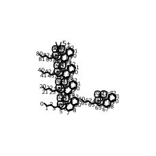 CCCCCCc1ccc2ccccc2c1S(=O)(=O)[O-].CCCCCCc1ccc2ccccc2c1S(=O)(=O)[O-].CCCCCCc1ccc2ccccc2c1S(=O)(=O)[O-].CCCCCCc1ccc2ccccc2c1S(=O)(=O)[O-].CCCCCCc1ccc2ccccc2c1S(=O)(=O)[O-].[V+5]